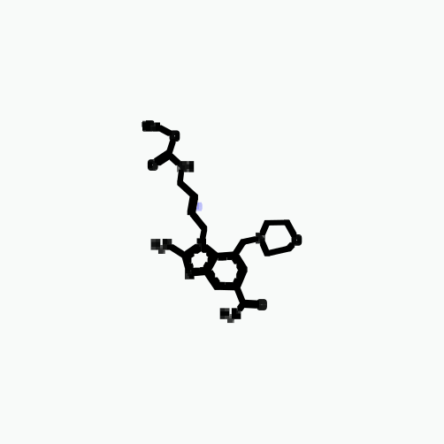 CC(C)(C)OC(=O)NC/C=C/Cn1c(N)nc2cc(C(N)=O)cc(CN3CCOCC3)c21